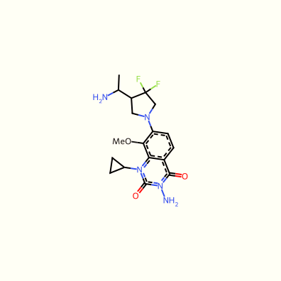 COc1c(N2CC(C(C)N)C(F)(F)C2)ccc2c(=O)n(N)c(=O)n(C3CC3)c12